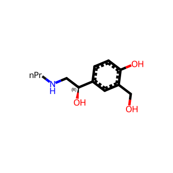 [CH2]CCNC[C@H](O)c1ccc(O)c(CO)c1